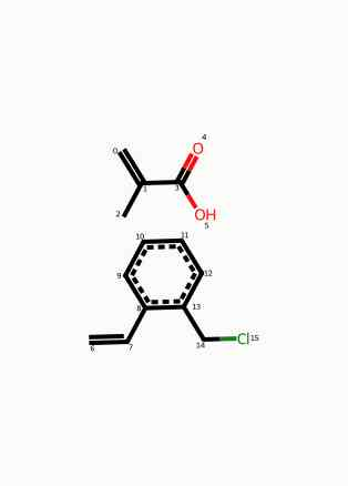 C=C(C)C(=O)O.C=Cc1ccccc1CCl